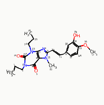 CCCn1c(=O)c2c(nc(C=Cc3ccc(OC)c(O)c3)n2C)n(CCC)c1=O